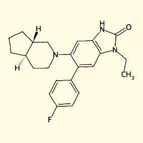 CCn1c(=O)[nH]c2cc(N3CC[C@H]4CCC[C@@H]4C3)c(-c3ccc(F)cc3)cc21